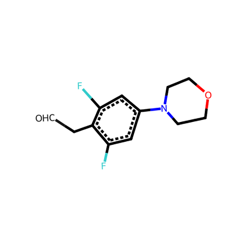 O=CCc1c(F)cc(N2CCOCC2)cc1F